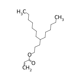 C=CC(=O)OCCCC(CCCCCC)CCCCCCC